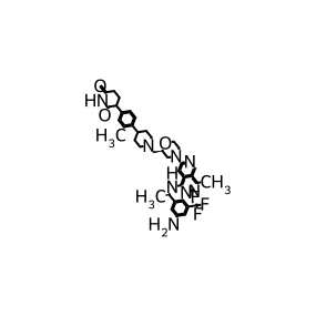 Cc1cc(C2CCC(=O)NC2=O)ccc1C1CCN(C[C@@H]2CN(c3cc4c(N[C@H](C)c5cc(N)cc(C(F)(F)F)c5)nnc(C)c4cn3)CCO2)CC1